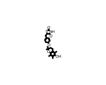 Cc1c(C)c2c(c(C)c1O)CCC(C)(COC1C=CC(CC3SC(=O)NC3=O)=CC1)O2